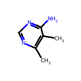 Cc1n[c]nc(N)c1C